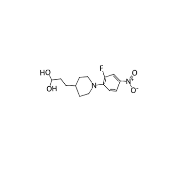 O=[N+]([O-])c1ccc(N2CCC(CCC(O)O)CC2)c(F)c1